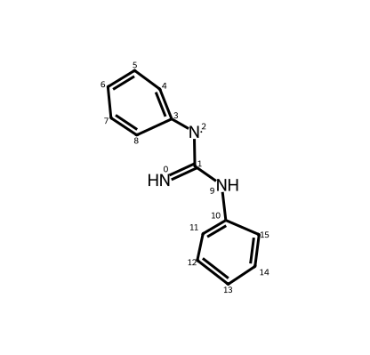 N=C([N]c1ccccc1)Nc1ccccc1